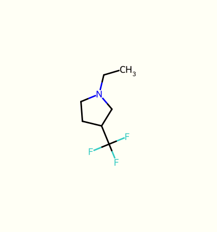 CCN1CCC(C(F)(F)F)C1